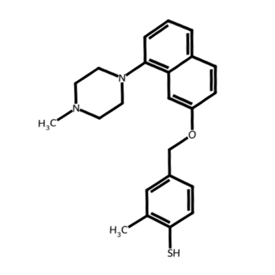 Cc1cc(COc2ccc3cccc(N4CCN(C)CC4)c3c2)ccc1S